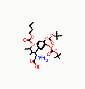 CCCCOC(=O)OC(C)C(C)C(c1ccc(OC(=O)OC(C)(C)C)c(OC(=O)OC(C)(C)C)c1)[C@H](N)C(=O)O